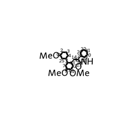 COc1cccc(-c2cc(OC)c(OC)cc2C=C2C(=O)Nc3ccccc32)c1